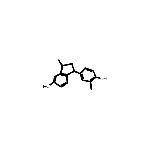 Cc1cc(C2CC(C)c3cc(O)ccc32)ccc1O